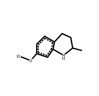 CCOc1ccc2c(c1)NC(C)CC2